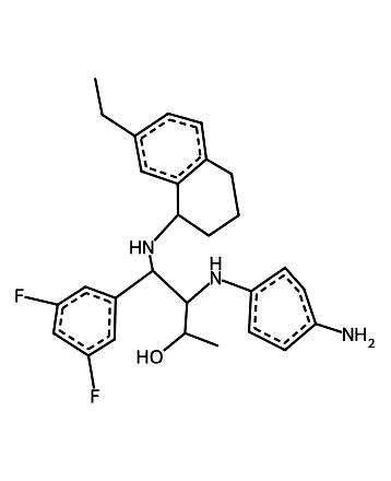 CCc1ccc2c(c1)C(NC(c1cc(F)cc(F)c1)C(Nc1ccc(N)cc1)C(C)O)CCC2